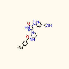 CC(C)(C)c1ccc(C(=O)N[C@@H]2CCCN(c3cc(Nc4ccc(C5CNC5)cn4)c(=O)[nH]n3)C2)cc1